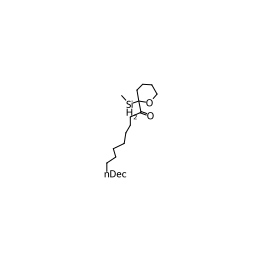 CCCCCCCCCCCCCCCCCC(=O)C1([SiH2]C)CCCCO1